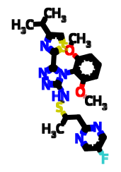 COc1cccc(OC)c1-n1c(NSC(C)Cc2ncc(F)cn2)nnc1-c1nc(C(C)C)cs1